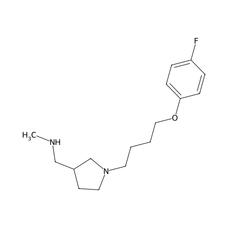 CNCC1CCN(CCCCOc2ccc(F)cc2)C1